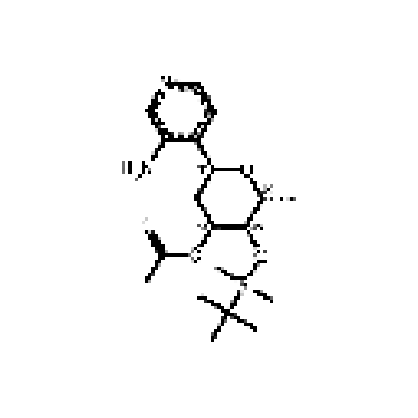 CC(=O)O[C@H]1C[C@@H](c2ccncc2N)O[C@H](C)[C@H]1O[Si](C)(C)C(C)(C)C